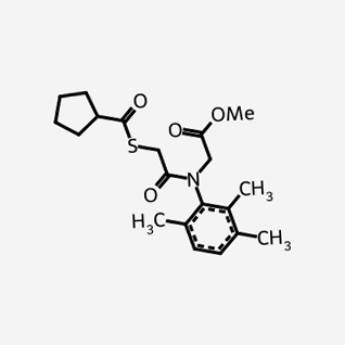 COC(=O)CN(C(=O)CSC(=O)C1CCCC1)c1c(C)ccc(C)c1C